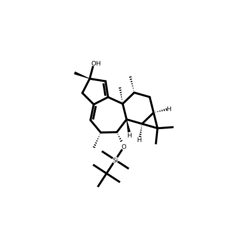 C[C@@H]1C=C2C[C@](C)(O)C=C2[C@]2(C)[C@@H]([C@@H]1O[Si](C)(C)C(C)(C)C)[C@H]1[C@@H](C[C@H]2C)C1(C)C